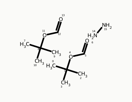 CC(C)(C)OC=O.CC(C)(C)OC=O.NN